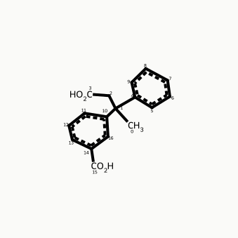 CC(CC(=O)O)(c1ccccc1)c1cccc(C(=O)O)c1